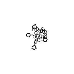 O=CC(O)(COCc1ccccc1)[C@@H](OCc1ccccc1)[C@H](OCc1ccccc1)[C@@H](OCc1ccccc1)C(=O)C1CNCCN1C(=O)O